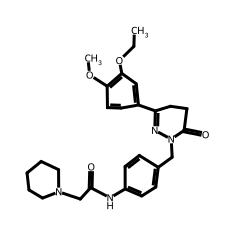 CCOc1cc(C2=NN(Cc3ccc(NC(=O)CN4CCCCC4)cc3)C(=O)CC2)ccc1OC